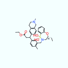 CCOC(=O)CC(c1ccc(C)c(CN2C[C@@H](CC)Oc3ccccc3S2(O)O)c1)c1ccc2c(c1)CCN(C)C2